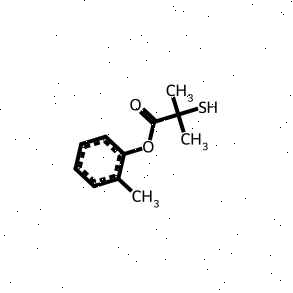 Cc1ccccc1OC(=O)C(C)(C)S